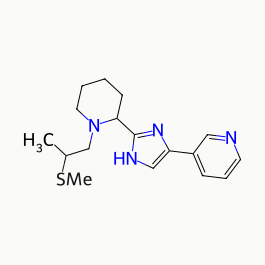 CSC(C)CN1CCCCC1c1nc(-c2cccnc2)c[nH]1